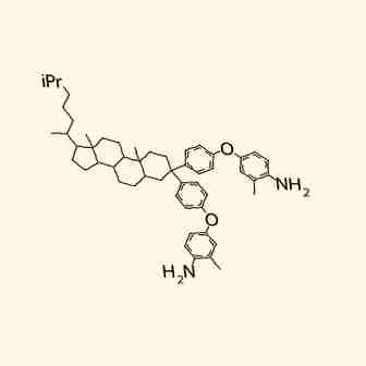 Cc1cc(Oc2ccc(C3(c4ccc(Oc5ccc(N)c(C)c5)cc4)CCC4(C)C(CCC5C4CCC4(C)C(C(C)CCCC(C)C)CCC54)C3)cc2)ccc1N